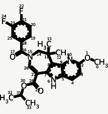 COc1ccc2[nH]c3c(c2n1)C(C)(C)CN(C(=O)c1ccc(F)c(F)c1)C=C3C(=O)OC(C)C